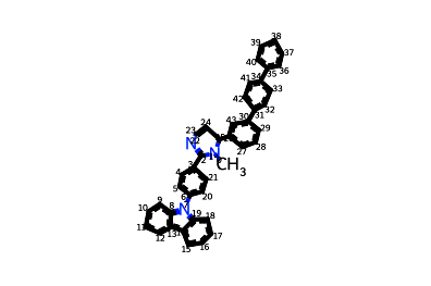 CN1C(c2ccc(-n3c4ccccc4c4ccccc43)cc2)=NC=CC1c1cccc(-c2ccc(-c3ccccc3)cc2)c1